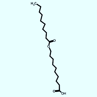 CCCCCCCCCC(=O)OCCCCCCCCCC(=O)O